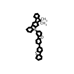 CC1(C)c2ccccc2-c2cc3c4ccccc4n(-c4ccc5oc6cc(-c7ccc8c(c7)sc7ccccc78)ccc6c5c4)c3cc21